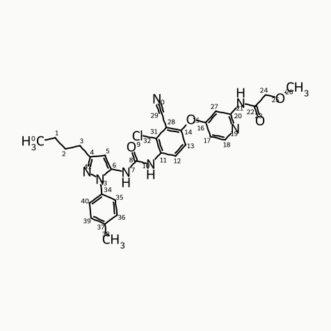 CCCCc1cc(NC(=O)Nc2ccc(Oc3ccnc(NC(=O)COC)c3)c(C#N)c2Cl)n(-c2ccc(C)cc2)n1